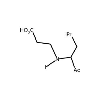 CC(=O)C(CC(C)C)N(I)CCC(=O)O